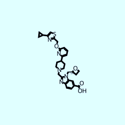 O=C(O)c1ccc2nc(CN3CCC(c4cccc(OCc5nc(C6CC6)cs5)n4)CC3)n(C[C@@H]3CCO3)c2c1